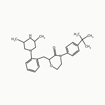 CC1CN(c2ccccc2CC2OCCN(c3ccc(C(C)(C)C)cc3)C2=O)CC(C)N1